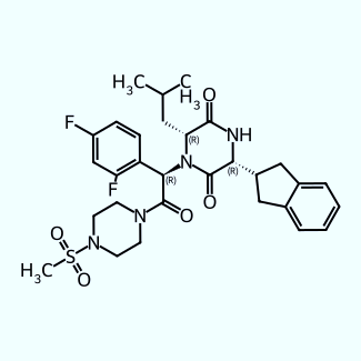 CC(C)C[C@@H]1C(=O)N[C@H](C2Cc3ccccc3C2)C(=O)N1[C@@H](C(=O)N1CCN(S(C)(=O)=O)CC1)c1ccc(F)cc1F